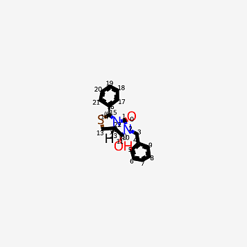 O=C1N(Cc2ccccc2)[C@@H](O)[C@@H]2CS[C@@H](c3ccccc3)N12